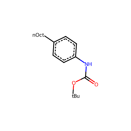 CCCCCCCCc1ccc(NC(=O)OC(C)(C)C)cc1